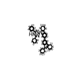 C1=CCC(C2=NC(n3c4c(c5ccc(-c6ccc7c(c6)c6c(n7C7C=CC=CC7)C=CCC6)cc53)C=CCC4)=NC(c3ccccc3)N2)C=C1